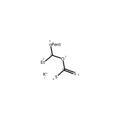 CCCCCC(CC)OC(=S)[S-].[K+]